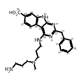 CN(CCCN)CCCNc1nc(Cc2ccccc2)nc2[nH]c3cc(C(=O)O)ccc3c12